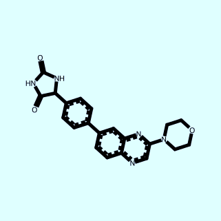 O=C1NC(=O)C(c2ccc(-c3ccc4ncc(N5CCOCC5)nc4c3)cc2)N1